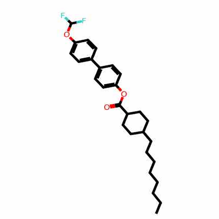 CCCCCCCCC1CCC(C(=O)Oc2ccc(-c3ccc(OC(F)F)cc3)cc2)CC1